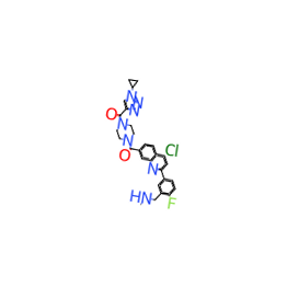 CNCc1cc(-c2cc(Cl)c3ccc(C(=O)N4CCN(C(=O)c5cn(C6CC6)nn5)CC4)cc3n2)ccc1F